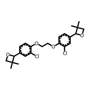 CC1(C)COC1c1ccc(OCCOc2ccc(C3OCC3(C)C)cc2Cl)c(Cl)c1